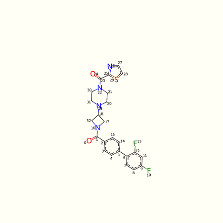 O=C(c1ccc(-c2ccc(F)cc2F)cc1)N1CC(N2CCN(C(=O)c3nccs3)CC2)C1